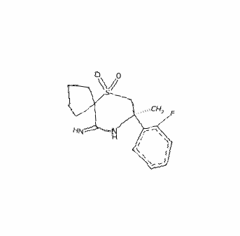 C[C@@]1(c2ccccc2F)CS(=O)(=O)C2(CCCC2)C(=N)N1